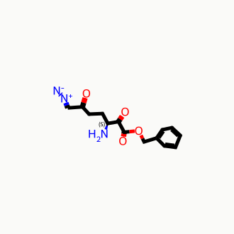 [N-]=[N+]=CC(=O)CC[C@H](N)C(=O)C(=O)OCc1ccccc1